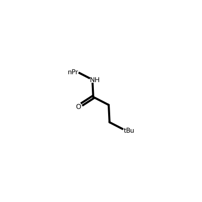 CCCNC(=O)CCC(C)(C)C